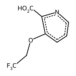 O=C(O)c1ncccc1OCC(F)(F)F